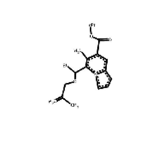 C=C(C)COC(CC)c1c(C)c(C(=O)OCCC)cc2cccn12